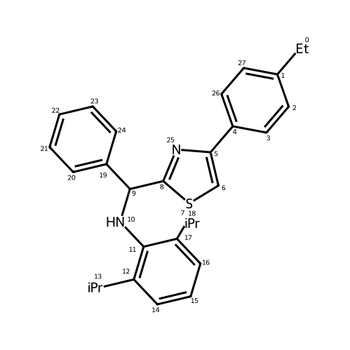 CCc1ccc(-c2csc(C(Nc3c(C(C)C)cccc3C(C)C)c3ccccc3)n2)cc1